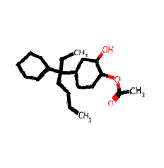 CCCCC(CC)(C1CCCCC1)C1CCC(OC(C)=O)C(O)C1